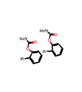 CNC(=O)Oc1ccccc1C(C)C.CNC(=O)Oc1ccccc1C(C)C